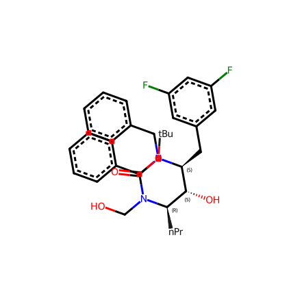 CCC[C@H]([C@@H](O)[C@H](Cc1cc(F)cc(F)c1)N(Cc1ccccc1)Cc1ccccc1)N(CO)C(=O)OC(C)(C)C